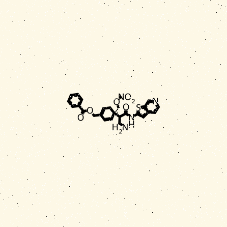 NCC(C(=O)Nc1cc2ccncc2s1)[C@@]1(CO[N+](=O)[O-])C=CC(COC(=O)c2ccccc2)=CC1